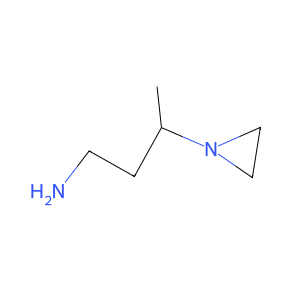 CC(CCN)N1CC1